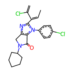 C=C(Cl)C(=CC)c1nc2c(n1-c1ccc(Cl)cc1)C(=O)N(C1CCCCC1)C2